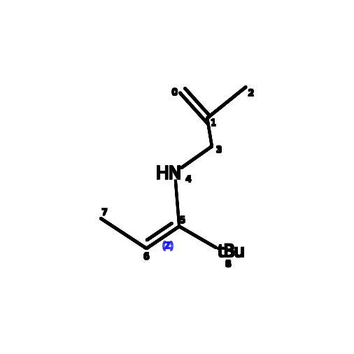 C=C(C)CN/C(=C\C)C(C)(C)C